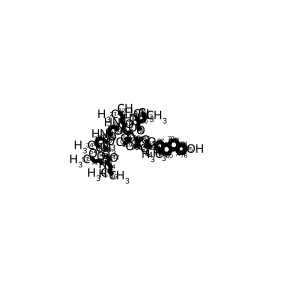 CCC1(OC(COC(=O)C(CC(C)C)NC)CC(=O)C(CC(C)C)NC(=O)CC(=O)NC(CC(C)C)C(=O)OCOC(=O)C(CC(C)C)NC(=O)CC(C)=O)OCC2(CO1)COC(CC)(OC1CC3C4CCc5cc(O)ccc5C4CCC3(C)C1)OC2